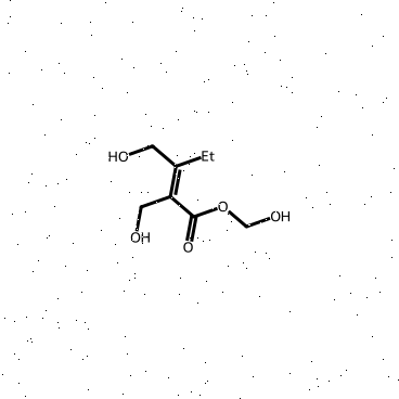 CCC(CO)=C(CO)C(=O)OCO